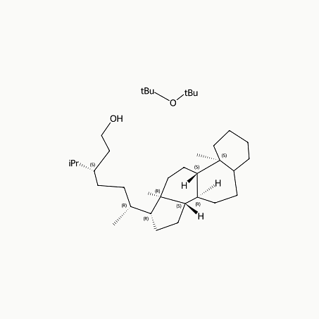 CC(C)(C)OC(C)(C)C.CC(C)[C@H](CCO)CC[C@@H](C)[C@H]1CC[C@H]2[C@@H]3CCC4CCCC[C@]4(C)[C@H]3CC[C@]12C